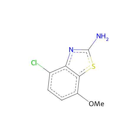 COc1ccc(Cl)c2nc(N)sc12